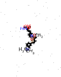 C=CC(c1ccc(-c2cccc(CN(C)C)c2)s1)S(=O)(=O)n1ccc(/C=C/C(=O)NO)c1